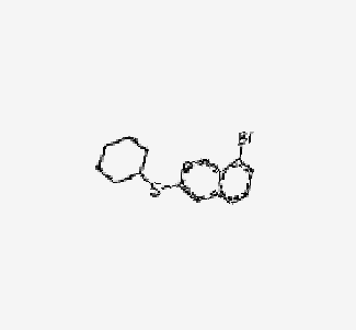 Brc1cccc2cc(SC3CCCCC3)ccc12